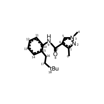 Cc1nn(C)cc1C(=O)Nc1ccccc1CCC(C)(C)C